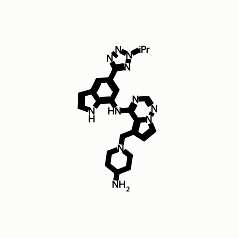 CC(C)n1nnc(-c2cc(Nc3ncnn4ccc(CN5CCC(N)CC5)c34)c3[nH]ccc3c2)n1